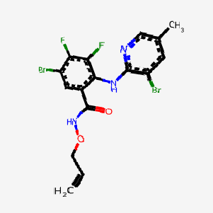 C=CCONC(=O)c1cc(Br)c(F)c(F)c1Nc1ncc(C)cc1Br